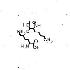 NCCCCC(N)C(=O)O.NCCCCC(NO)C(=O)O